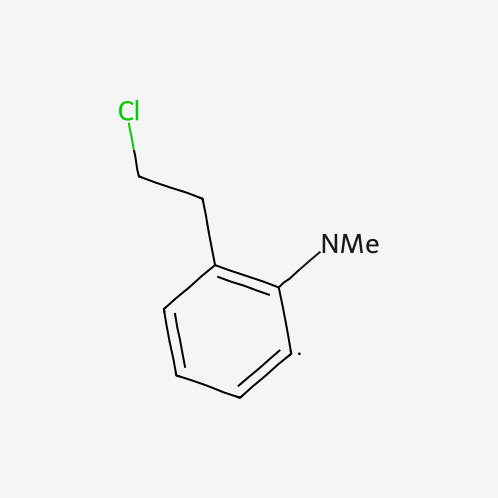 CNc1[c]cccc1CCCl